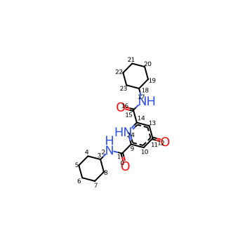 O=C(NC1CCCCC1)c1cc(=O)cc(C(=O)NC2CCCCC2)[nH]1